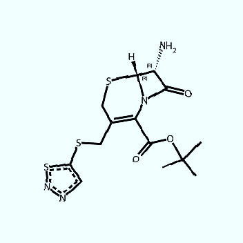 CC(C)(C)OC(=O)C1=C(CSc2cnns2)CS[C@@H]2[C@H](N)C(=O)N12